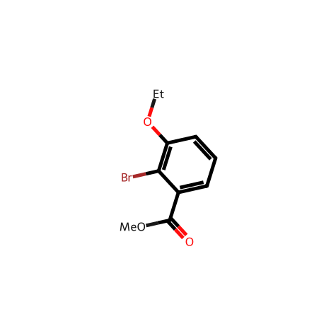 CCOc1cccc(C(=O)OC)c1Br